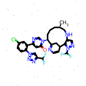 C[C@@H]1CCC[C@H](n2cnc(-c3cc(Cl)ccc3-n3cc(C(F)F)nn3)cc2=O)C2=NC=CC(C2)c2c(cnn2C(F)F)NC1